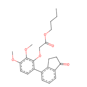 CCCCOC(=O)COc1c(-c2cccc3c2CCC3=O)ccc(OC)c1OC